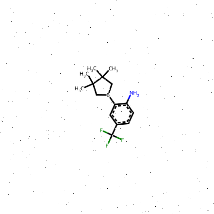 CC1(C)CB(c2cc(C(F)(F)F)ccc2N)CC1(C)C